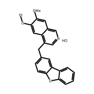 CCOc1cc2c(Cc3ccc4oc5ccccc5c4c3)cncc2cc1OC.Cl